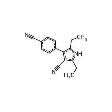 CCc1[nH]c(CC)c(-c2ccc(C#N)cc2)c1C#N